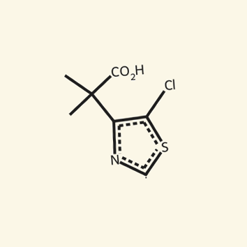 CC(C)(C(=O)O)c1n[c]sc1Cl